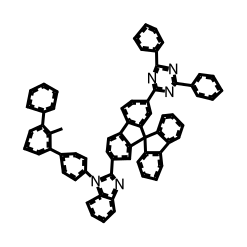 Cc1c(-c2ccccc2)cccc1-c1ccc(-n2c(-c3ccc4c(c3)C3(c5ccccc5-c5ccccc53)c3cc(-c5nc(-c6ccccc6)nc(-c6ccccc6)n5)ccc3-4)nc3ccccc32)cc1